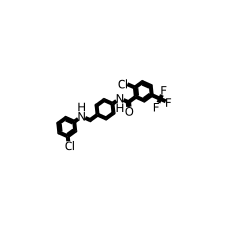 O=C(NC1CCC(CNc2cccc(Cl)c2)CC1)c1cc(C(F)(F)F)ccc1Cl